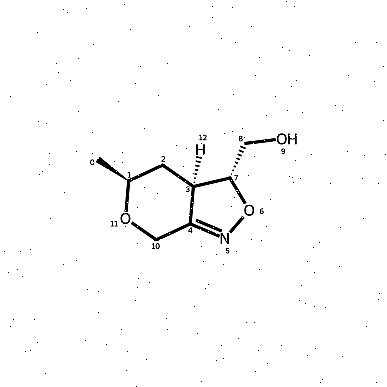 C[C@H]1C[C@@H]2C(=NO[C@H]2CO)CO1